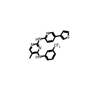 Cc1cnc(Nc2ccc(-c3ccsc3)cn2)nc1Nc1cccc(C(F)(F)F)c1